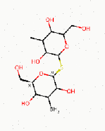 BC1C(O)[C@@H](CO)O[C@@H](SC2OC(CO)C(O)C(C)C2O)C1O